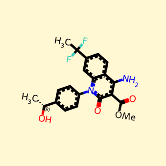 COC(=O)c1c(N)c2ccc(C(C)(F)F)cc2n(-c2ccc([C@@H](C)O)cc2)c1=O